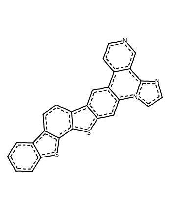 c1ccc2c(c1)sc1c2ccc2c3cc4c5ccncc5c5nccn5c4cc3sc21